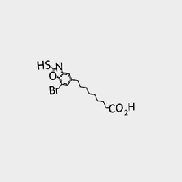 O=C(O)CCCCCCCCc1cc(Br)c2oc(S)nc2c1